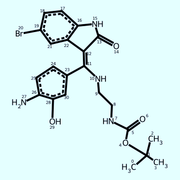 CC(C)(C)OC(=O)NCCN/C(=C1\C(=O)Nc2ccc(Br)cc21)c1ccc(N)c(O)c1